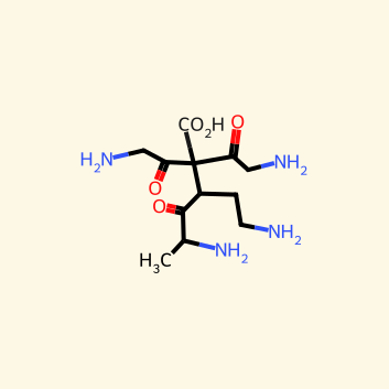 CC(N)C(=O)C(CCN)C(C(=O)O)(C(=O)CN)C(=O)CN